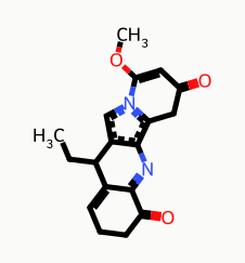 CCC1C2=CCCC(=O)C2=Nc2c1cn1c2CC(=O)C=C1OC